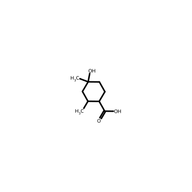 CC1CC(C)(O)CCC1C(=O)O